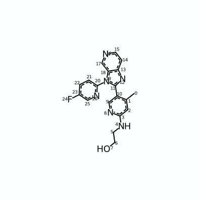 Cc1cc(NCCO)ncc1-c1nc2ccncc2n1-c1ccc(F)cn1